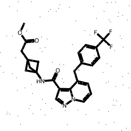 COC(=O)CC12CC(NC(=O)c3cnn4cccc(Cc5ccc(C(F)(F)F)cc5)c34)(C1)C2